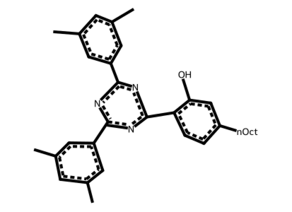 CCCCCCCCc1ccc(-c2nc(-c3cc(C)cc(C)c3)nc(-c3cc(C)cc(C)c3)n2)c(O)c1